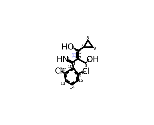 N=C(/C(CO)=C(\O)C1CC1)c1c(Cl)cccc1Cl